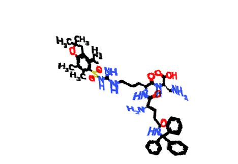 Cc1c(C)c(S(=O)(=O)NC(=N)NCCC[C@H](NC(=O)[C@@H](N)CCC(=O)NC(c2ccccc2)(c2ccccc2)c2ccccc2)C(=O)N[C@@H](CN)C(=O)O)c(C)c2c1OC(C)(C)C2